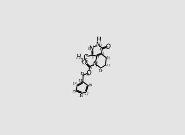 Cc1n[nH]c(=O)c2c1N(C(=O)OCc1ccccc1)CCC2